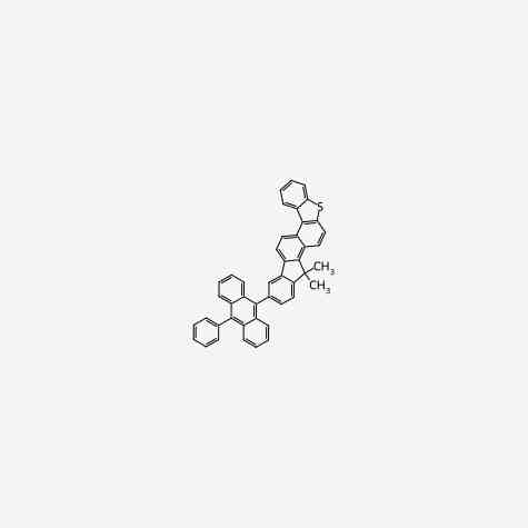 CC1(C)c2ccc(-c3c4ccccc4c(-c4ccccc4)c4ccccc34)cc2-c2ccc3c(ccc4sc5ccccc5c43)c21